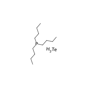 CCCCP(CCCC)CCCC.[TeH2]